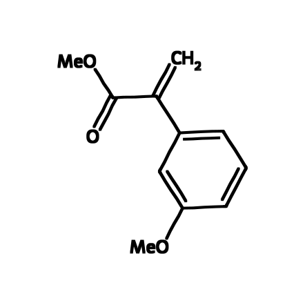 C=C(C(=O)OC)c1cccc(OC)c1